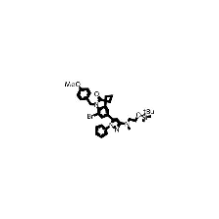 COc1ccc(CN2C(=O)C3(CCC3)c3cc(-c4cc(N(C)CCO[Si](C)(C)C(C)(C)C)nn4-c4ccccc4)cc(Br)c32)cc1